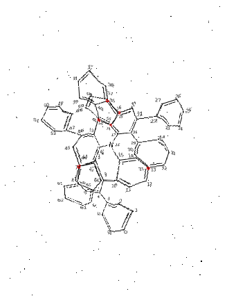 c1ccc(-c2ccccc2-c2ccccc2N(c2c3c(cc(-c4ccccc4)c2-c2ccccc2)-c2ccccc2C3)c2c3c(cc(-c4ccccc4)c2-c2ccccc2)-c2ccccc2C3)cc1